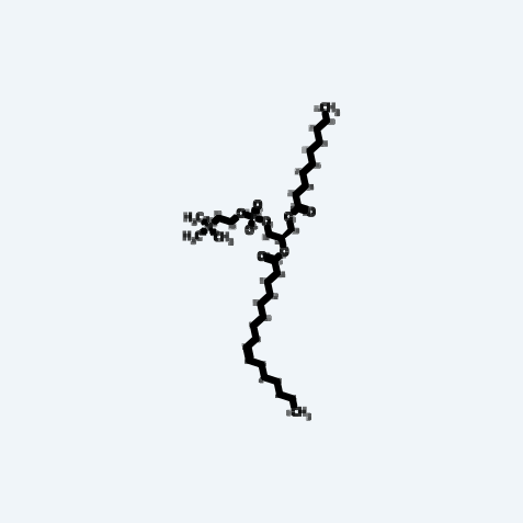 CCCCCC/C=C\CCCCCCCC(=O)O[C@H](COC(=O)CCCCCCCCC)COP(=O)([O-])OCC[N+](C)(C)C